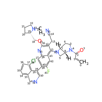 C=CC(=O)N1CC[C@@H]2[C@H]1CN2c1c(CC#N)c(OC[C@@H]2CCCN2C)nc2cc(-c3cncc4cccc(Cl)c34)c(F)cc12